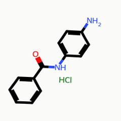 Cl.Nc1ccc(NC(=O)c2ccccc2)cc1